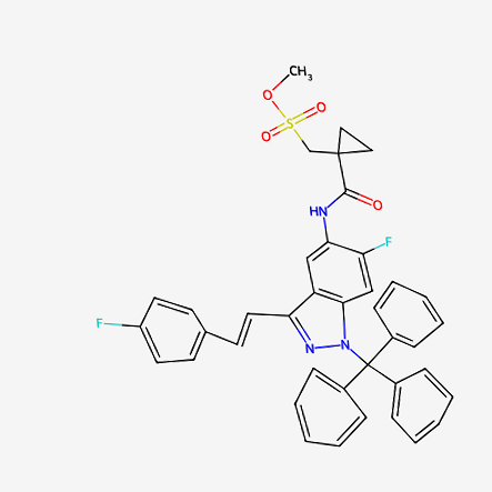 COS(=O)(=O)CC1(C(=O)Nc2cc3c(C=Cc4ccc(F)cc4)nn(C(c4ccccc4)(c4ccccc4)c4ccccc4)c3cc2F)CC1